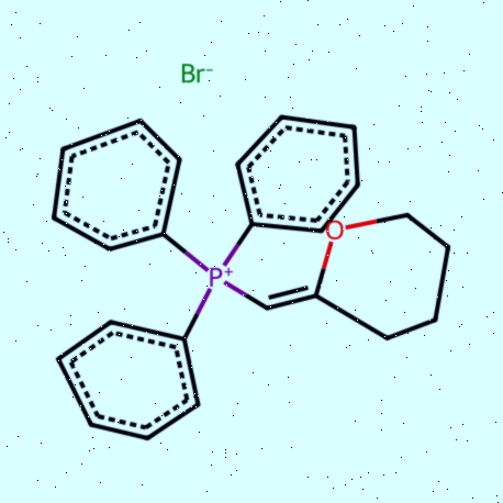 C(=C1\CCCCO1)/[P+](c1ccccc1)(c1ccccc1)c1ccccc1.[Br-]